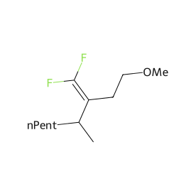 CCCCCC(C)C(CCOC)=C(F)F